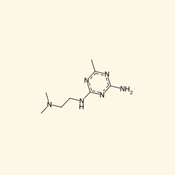 Cc1nc(N)nc(NCCN(C)C)n1